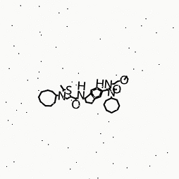 COCC1NC(c2ccc3c(c2)CC[C@H]3NC(=O)C2CN(C3CCCCCCCC3)C(C)S2)N(C2CCCCCCC2)O1